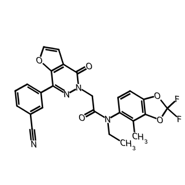 CCN(C(=O)Cn1nc(-c2cccc(C#N)c2)c2occc2c1=O)c1ccc2c(c1C)OC(F)(F)O2